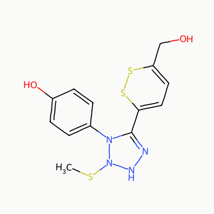 CSN1NN=C(C2=CC=C(CO)SS2)N1c1ccc(O)cc1